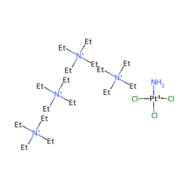 CC[N+](CC)(CC)CC.CC[N+](CC)(CC)CC.CC[N+](CC)(CC)CC.CC[N+](CC)(CC)CC.[NH2][Pt-4]([Cl])([Cl])[Cl]